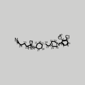 COc1c(Cl)cccc1N1CCN(CC[C@H]2CC[C@H](NC(=O)CCCC#N)CC2)CC1